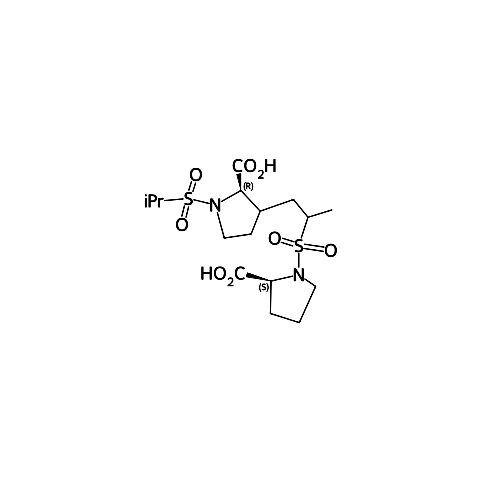 CC(CC1CCN(S(=O)(=O)C(C)C)[C@H]1C(=O)O)S(=O)(=O)N1CCC[C@H]1C(=O)O